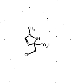 CN1C=NC(CCl)(C(=O)O)N1